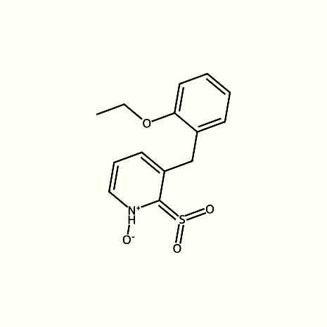 CCOc1ccccc1CC1=CC=C[NH+]([O-])C1=S(=O)=O